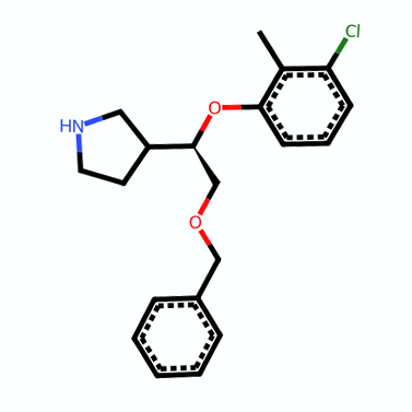 Cc1c(Cl)cccc1O[C@@H](COCc1ccccc1)C1CCNC1